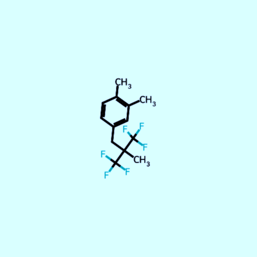 Cc1ccc(CC(C)(C(F)(F)F)C(F)(F)F)cc1C